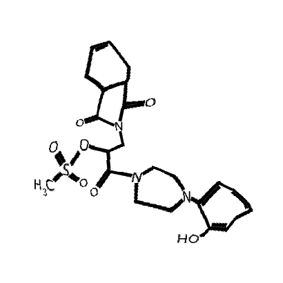 CS(=O)(=O)OC(CN1C(=O)C2CC=CCC2C1=O)C(=O)N1CCN(c2ccccc2O)CC1